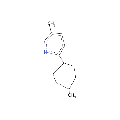 Cc1ccc(C2CCC(C)CC2)nc1